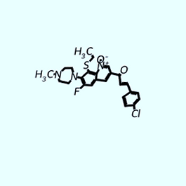 CCSc1c(N2CCN(C)CC2)c(F)cc2cc(C(=O)C=Cc3ccc(Cl)cc3)c[n+]([O-])c12